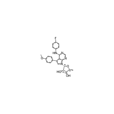 COc1ccc(-c2cn([C@@H]3O[C@@H](C)[C@@H](O)[C@H]3O)c3ncnc(Nc4ccc(F)cc4)c23)cc1